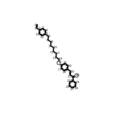 C=Cc1ccc(CCCCCCCCCOc2ccc(C=CC(=O)c3ccccc3)cc2)cc1